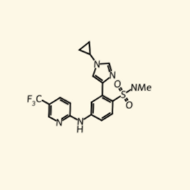 CNS(=O)(=O)c1ccc(Nc2ccc(C(F)(F)F)cn2)cc1-c1cn(C2CC2)cn1